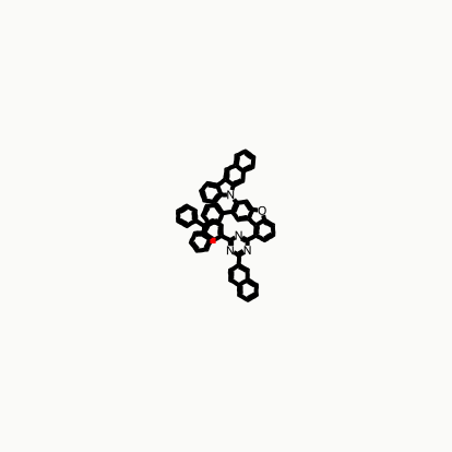 c1ccc(-c2ccc(-c3nc(-c4ccc5ccccc5c4)nc(-c4cccc5oc6cc(-n7c8ccccc8c8cc9ccccc9cc87)c(-c7cccc(-c8ccccc8)c7)cc6c45)n3)cc2)cc1